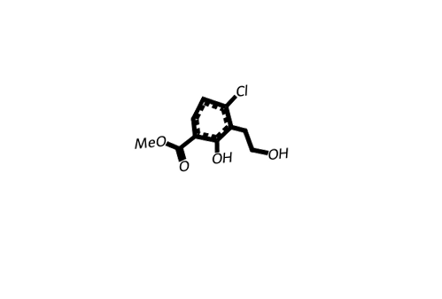 COC(=O)c1ccc(Cl)c(CCO)c1O